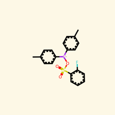 Cc1ccc([I+](OS(=O)(=O)c2ccccc2F)c2ccc(C)cc2)cc1